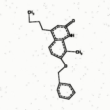 CCCCc1cc(=O)[nH]c2c(C)c(OCc3ccccc3)ccc12